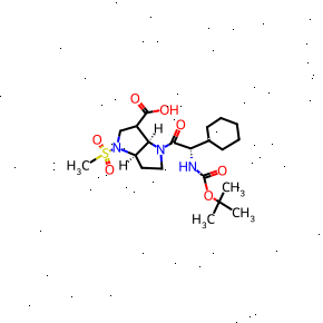 CC(C)(C)OC(=O)N[C@H](C(=O)N1CC[C@@H]2[C@H]1C(C(=O)O)CN2S(C)(=O)=O)C1CCCCC1